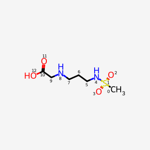 CS(=O)(=O)NCCCNCC(=O)O